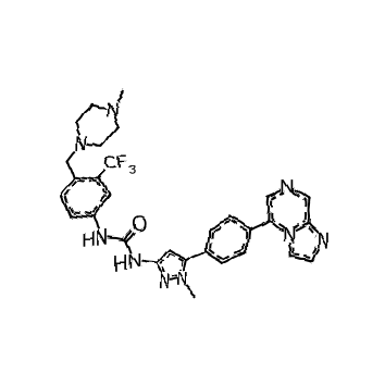 CN1CCN(Cc2ccc(NC(=O)Nc3cc(-c4ccc(-c5cncc6nccn56)cc4)n(C)n3)cc2C(F)(F)F)CC1